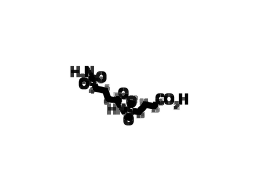 NS(=O)(=O)CCCC(=O)NS(=O)(=O)CCCC(=O)O